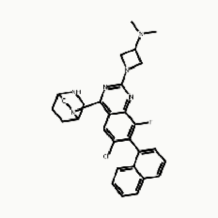 CN(C)C1CN(c2nc(N3CC4CCC3CN4)c3cc(Cl)c(-c4cccc5ccccc45)c(F)c3n2)C1